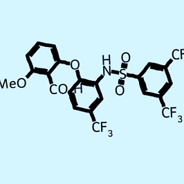 COc1cccc(Oc2ccc(C(F)(F)F)cc2NS(=O)(=O)c2cc(C(F)(F)F)cc(C(F)(F)F)c2)c1C(=O)O